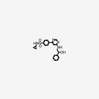 O=S(=O)(NC1CC1)c1ccc(-c2cc(NC[C@@H](O)c3ccccc3)ncn2)cc1